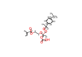 C=C(C)C(=O)OCCOC(C)(OOC(C)(C)c1ccc(C(C)C)cc1)OC(=O)O